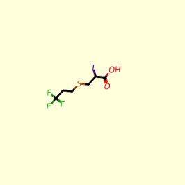 O=C(O)C(I)CSCCC(F)(F)F